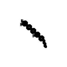 CCCCCC1CCC(c2ccc(C3=CCC(C4CCC(c5ccc(F)c(F)c5)CC4)CC3)c(F)c2)CC1